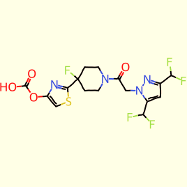 O=C(O)Oc1csc(C2(F)CCN(C(=O)Cn3nc(C(F)F)cc3C(F)F)CC2)n1